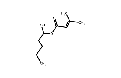 CCCCC(O)OC(=O)C=C(C)C